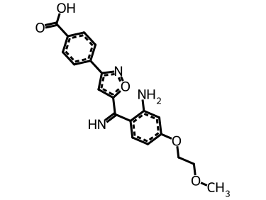 COCCOc1ccc(C(=N)c2cc(-c3ccc(C(=O)O)cc3)no2)c(N)c1